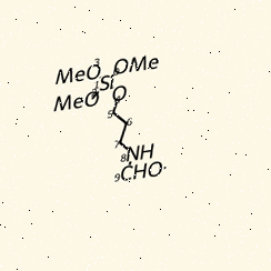 CO[Si](OC)(OC)OCCCN[C]=O